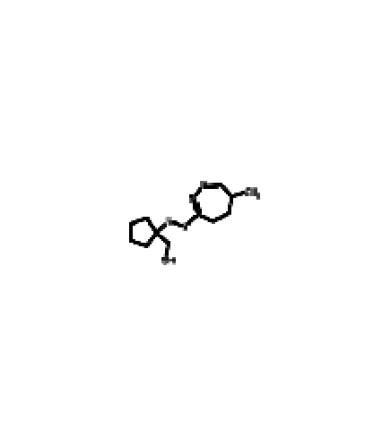 CC1C=NN=C(SSC2(CO)CCCC2)CC1